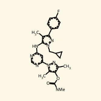 CNC(=O)Oc1c(C)nn(-c2cc(Nc3c(C)c(-c4ccc(F)cc4)nn3CC3CC3)ncn2)c1C